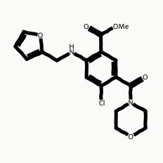 COC(=O)c1cc(C(=O)N2CCOCC2)c(Cl)cc1NCc1ccco1